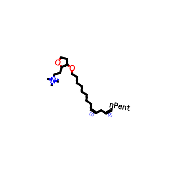 CCCCC/C=C\C/C=C\CCCCCCCCOC1CCOC1CC[N+](C)(C)C